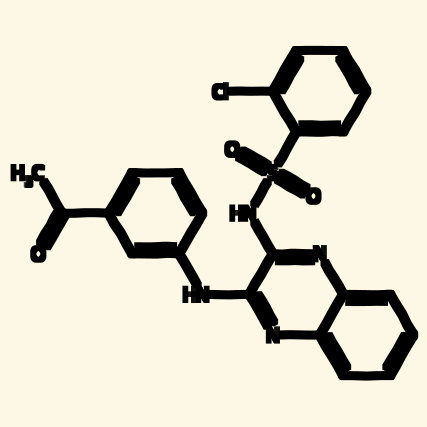 CC(=O)c1cccc(Nc2nc3ccccc3nc2NS(=O)(=O)c2ccccc2Cl)c1